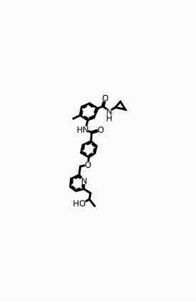 Cc1ccc(C(=O)NC2CC2)cc1NC(=O)c1ccc(OCc2cccc(CC(C)O)n2)cc1